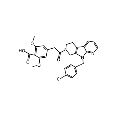 COc1cc(CC(=O)N2CCc3c(n(Cc4ccc(Cl)cc4)c4ncccc34)C2)cc(OC)c1C(=O)O